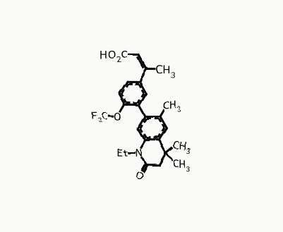 CCN1C(=O)CC(C)(C)c2cc(C)c(-c3cc(/C(C)=C\C(=O)O)ccc3OC(F)(F)F)cc21